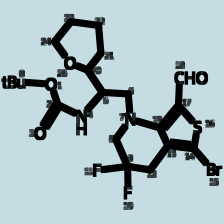 CC(C)(C)OC(=O)NC(CN1CC(F)(F)Cc2c(Br)sc(C=O)c21)C1CCCCO1